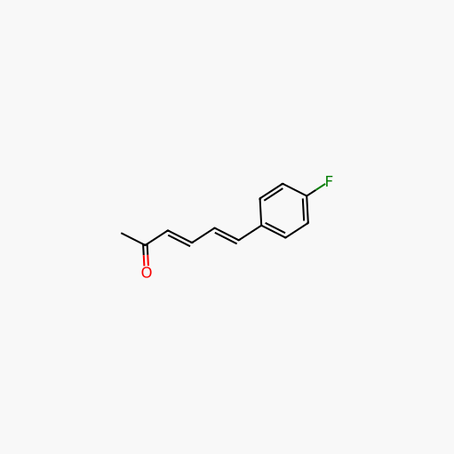 CC(=O)C=CC=Cc1ccc(F)cc1